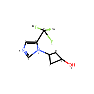 OC1CC(n2cncc2C(F)(F)F)C1